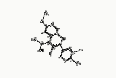 CSc1ncc2nc(-c3ccc(N)c(F)c3)c(=O)n(C(C)C)c2n1